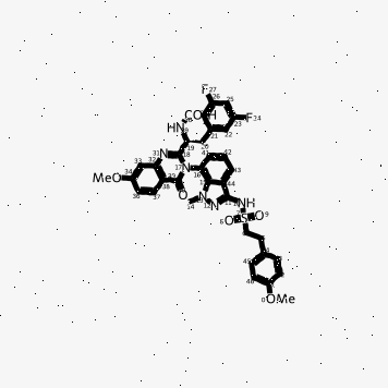 COc1ccc(CCS(=O)(=O)Nc2nn(C)c3c(-n4c([C@H](Cc5cc(F)cc(F)c5)NC(=O)O)nc5cc(OC)ccc5c4=O)cccc23)cc1